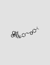 CC(C)c1ccc(OCC=Cc2ccc(CN3CCN(C(=O)O)CC3)cc2)cc1